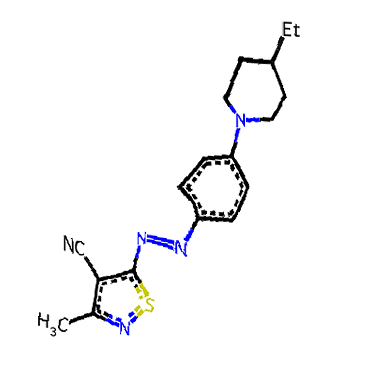 CCC1CCN(c2ccc(N=Nc3snc(C)c3C#N)cc2)CC1